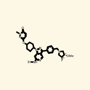 CCNc1cc2c(cn1)c(-c1ccc(CN3C[C@H](OC)[C@@H](F)C3)cc1)nn2C1CCC(Oc2ccc(=O)n(C)n2)CC1